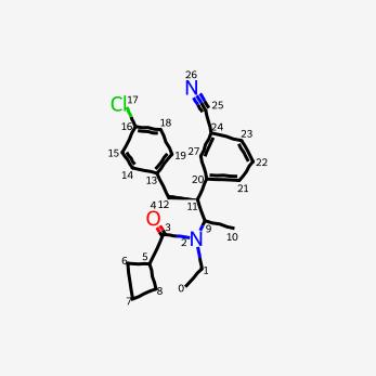 CCN(C(=O)C1CCC1)C(C)[C@@H](Cc1ccc(Cl)cc1)c1cccc(C#N)c1